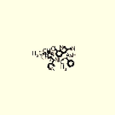 CC[C@@H]([AsH]c1c(C#N)cnc2c(Cl)cc(N[C@@H](c3cccnc3)c3cn(C(C)(C)C)nn3)cc12)c1ccccc1